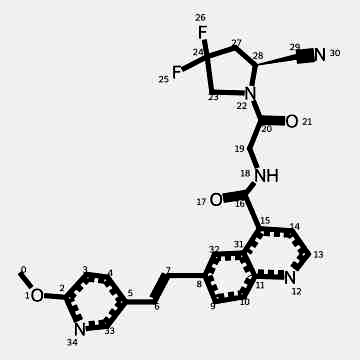 COc1ccc(/C=C/c2ccc3nccc(C(=O)NCC(=O)N4CC(F)(F)C[C@H]4C#N)c3c2)cn1